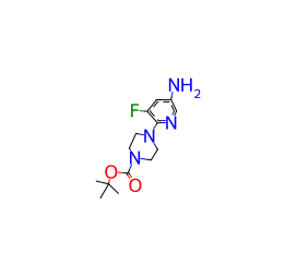 CC(C)(C)OC(=O)N1CCN(c2ncc(N)cc2F)CC1